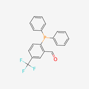 O=Cc1cc(C(F)(F)F)ccc1P(c1ccccc1)c1ccccc1